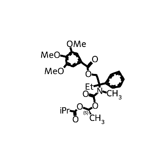 CCC(COC(=O)c1cc(OC)c(OC)c(OC)c1)(c1ccccc1)N(C)C(=O)O[C@@H](C)OC(=O)C(C)C